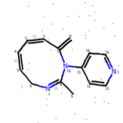 C=C1/C=C\C=C/C/N=C(/C)N1c1ccncc1